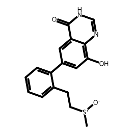 C[S+]([O-])CCc1ccccc1-c1cc(O)c2nc[nH]c(=O)c2c1